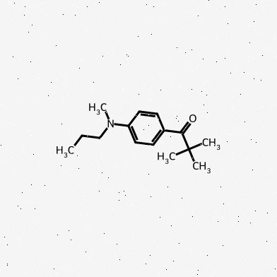 CCCN(C)c1ccc(C(=O)C(C)(C)C)cc1